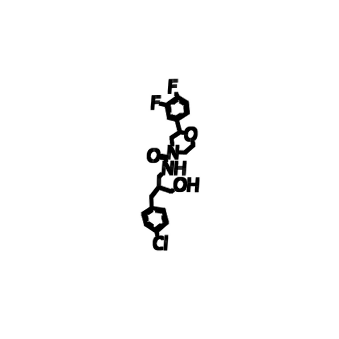 O=C(NCC(CO)Cc1ccc(Cl)cc1)N1CCOC(c2ccc(F)c(F)c2)C1